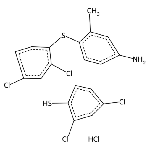 Cc1cc(N)ccc1Sc1ccc(Cl)cc1Cl.Cl.Sc1ccc(Cl)cc1Cl